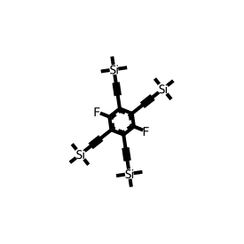 C[Si](C)(C)C#Cc1c(F)c(C#C[Si](C)(C)C)c(C#C[Si](C)(C)C)c(F)c1C#C[Si](C)(C)C